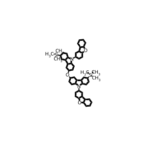 C[Si](C)(C)c1ccc2c(c1)c1cc(Oc3ccc4c(c3)c3cc([Si](C)(C)C)ccc3n4-c3ccc4oc5ccccc5c4c3)ccc1n2-c1ccc2oc3ccccc3c2c1